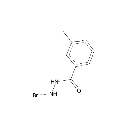 Cc1cccc(C(=O)NNBr)c1